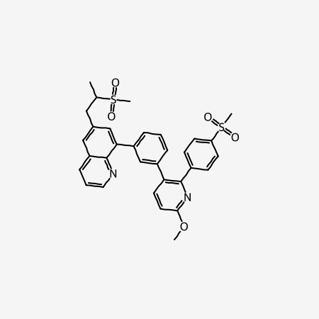 COc1ccc(-c2cccc(-c3cc(CC(C)S(C)(=O)=O)cc4cccnc34)c2)c(-c2ccc(S(C)(=O)=O)cc2)n1